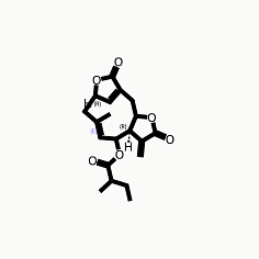 C=C1C(=O)OC2CC3=C[C@@H](C/C(C)=C/C(OC(=O)C(C)CC)[C@H]12)OC3=O